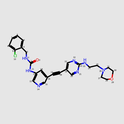 O=C(NCc1ccccc1Cl)Nc1cncc(C#Cc2cnc(NCCN3CCOCC3)nc2)c1